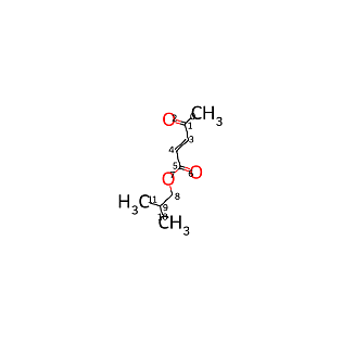 CC(=O)/C=C/C(=O)OCC(C)C